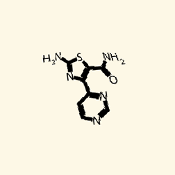 NC(=O)c1sc(N)nc1-c1ccncn1